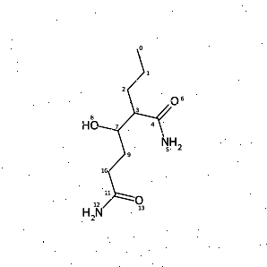 CCCC(C(N)=O)C(O)CCC(N)=O